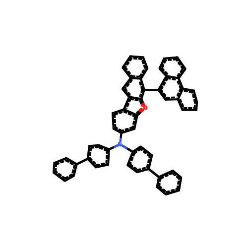 c1ccc(-c2ccc(N(c3ccc(-c4ccccc4)cc3)c3ccc4c(c3)oc3c(-c5cc6ccccc6c6ccccc56)c5ccccc5cc34)cc2)cc1